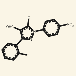 O=Cc1c(-c2ccccc2F)nn(-c2ccc([N+](=O)[O-])cc2)c1Cl